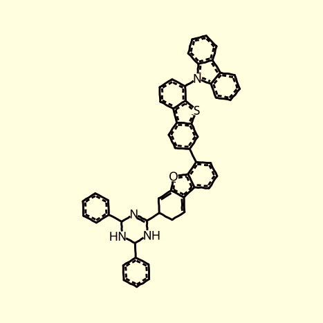 C1=c2oc3c(-c4ccc5c(c4)sc4c(-n6c7ccccc7c7ccccc76)cccc45)cccc3c2=CCC1C1=NC(c2ccccc2)NC(c2ccccc2)N1